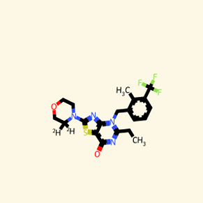 [2H]C1([2H])COCCN1c1nc2c(s1)c(=O)nc(CC)n2Cc1cccc(C(F)(F)F)c1C